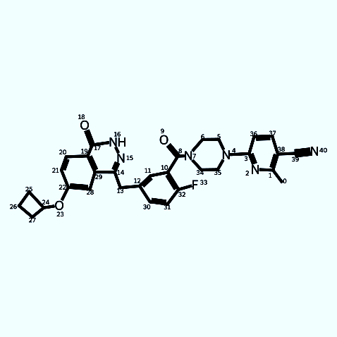 Cc1nc(N2CCN(C(=O)c3cc(Cc4n[nH]c(=O)c5ccc(OC6CCC6)cc45)ccc3F)CC2)ccc1C#N